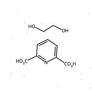 O=C(O)c1cccc(C(=O)O)n1.OCCO